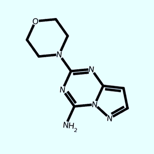 Nc1nc(N2CCOCC2)nc2ccnn12